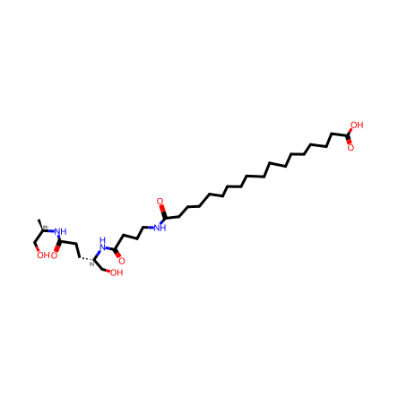 C[C@H](CO)NC(=O)CC[C@@H](CO)NC(=O)CCCNC(=O)CCCCCCCCCCCCCCCCC(=O)O